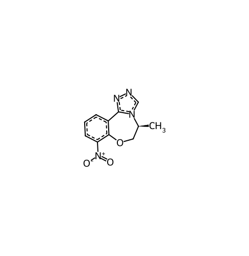 C[C@H]1COc2c(cccc2[N+](=O)[O-])-c2nncn21